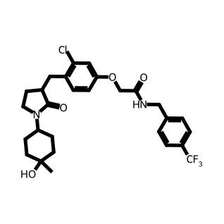 CC1(O)CCC(N2CCC(Cc3ccc(OCC(=O)NCc4ccc(C(F)(F)F)cc4)cc3Cl)C2=O)CC1